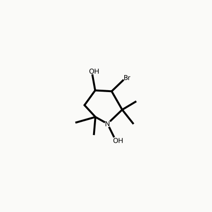 CC1(C)CC(O)C(Br)C(C)(C)N1O